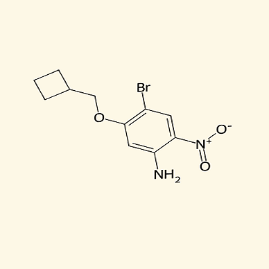 Nc1cc(OCC2CCC2)c(Br)cc1[N+](=O)[O-]